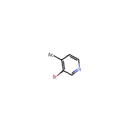 [CH2]C(=O)c1ccncc1Br